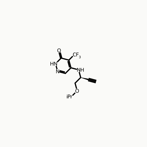 C#C[C@@H](COC(C)C)Nc1cn[nH]c(=O)c1C(F)(F)F